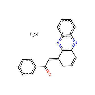 O=C(C=C1CC=Cc2nc3ccccc3nc21)c1ccccc1.[SeH2]